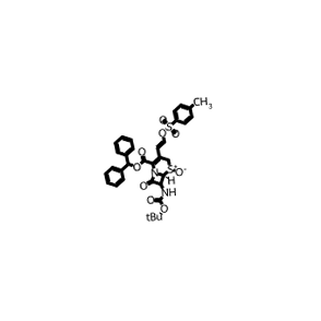 Cc1ccc(S(=O)(=O)OC=CC2=C(C(=O)OC(c3ccccc3)c3ccccc3)N3C(=O)C(NC(=O)OC(C)(C)C)[C@@H]3[S+]([O-])C2)cc1